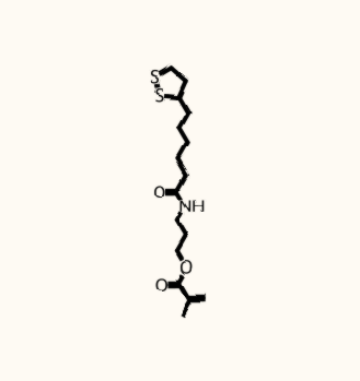 C=C(C)C(=O)OCCCNC(=O)CCCCCC1CCSS1